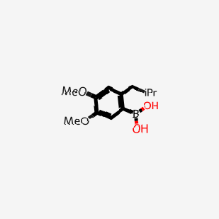 COc1cc(CC(C)C)c(B(O)O)cc1OC